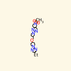 CCc1cnc(N2CCC(OCC3CCN(c4ncc5c(n4)CCN(S(C)(=O)=O)C5)C3)CC2)nc1